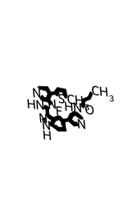 CCCCC(=O)Nc1cncc(-c2ccc3[nH]nc(-c4nc5c(-c6ccc(C)s6)ccnc5[nH]4)c3c2F)c1